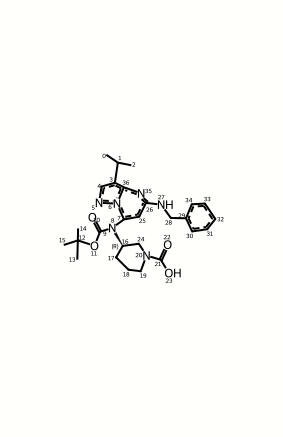 CC(C)c1cnn2c(N(C(=O)OC(C)(C)C)[C@@H]3CCCN(C(=O)O)C3)cc(NCc3ccccc3)nc12